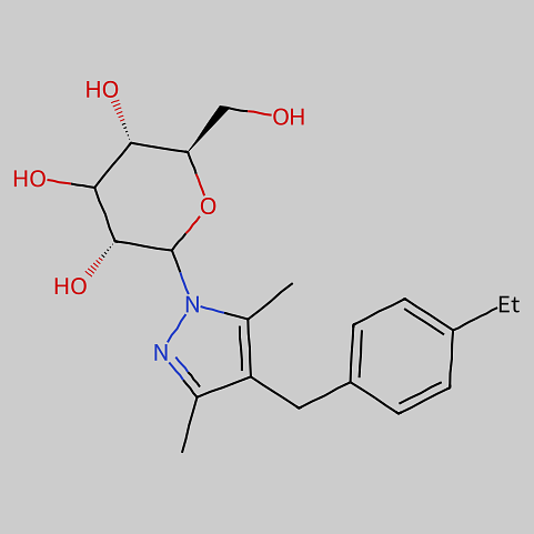 CCc1ccc(Cc2c(C)nn(C3O[C@H](CO)[C@@H](O)C(O)[C@H]3O)c2C)cc1